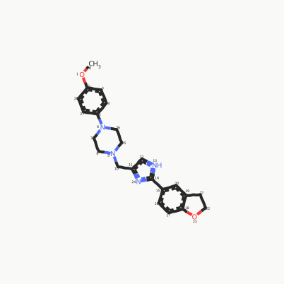 COc1ccc(N2CCN(Cc3c[nH]c(-c4ccc5c(c4)CCO5)n3)CC2)cc1